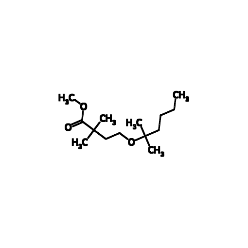 CCCCC(C)(C)OCCC(C)(C)C(=O)OC